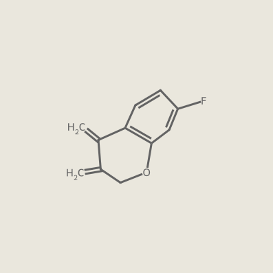 C=C1COc2cc(F)ccc2C1=C